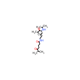 CC(C)N[C@@H](CCCCNC(=O)CCCC(=O)C(C)C)C(=O)C(C)C